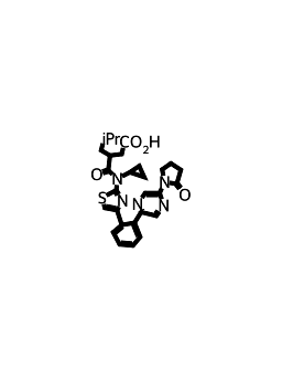 CC(C)CC(CC(=O)O)C(=O)N(c1nc(-c2ccccc2-c2cnc(N3CCCC3=O)cn2)cs1)C1CC1